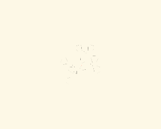 C1=CCCC(C2=CC(c3ccccc3)=NC(C3=CCC(n4c5ccccc5c5ccc6c(c54)C4C=CC=CC4N(c4ccccc4)c4ccccc4-6)C=C3)N2)=C1